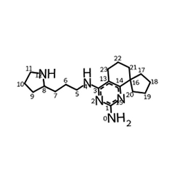 Nc1nc(NCCCC2CCCN2)c2c(n1)C1(CCCC1)CCC2